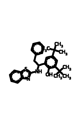 CC(C)(C)c1cc(C(Cc2ccccc2)Nc2nc3ccccc3s2)c(O)c(C(C)(C)C)c1